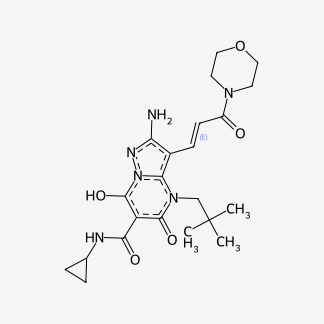 CC(C)(C)Cn1c(=O)c(C(=O)NC2CC2)c(O)n2nc(N)c(/C=C/C(=O)N3CCOCC3)c12